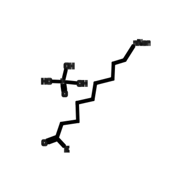 CCCCCCCCCCCCCCCCC[C](=O)[K].O=P(O)(O)O